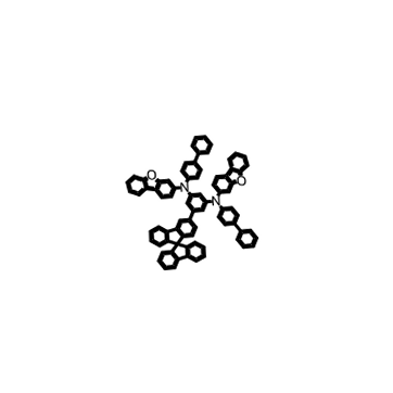 c1ccc(-c2ccc(N(c3cc(-c4ccc5c(c4)-c4ccccc4C54c5ccccc5-c5ccccc54)cc(N(c4ccc(-c5ccccc5)cc4)c4ccc5c(c4)oc4ccccc45)c3)c3ccc4c(c3)oc3ccccc34)cc2)cc1